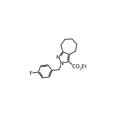 CCOC(=O)c1c2c(nn1Cc1ccc(F)cc1)CCCCC2